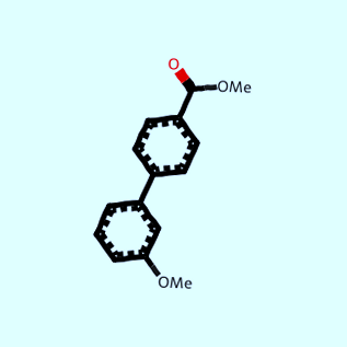 COC(=O)c1ccc(-c2cccc(OC)c2)cc1